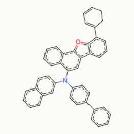 C1=CCCC(c2cccc3c2oc2c4ccccc4c(N(c4ccc(-c5ccccc5)cc4)c4ccc5ccccc5c4)cc32)=C1